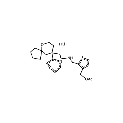 CC(=O)OCc1ccsc1CNCCC1(c2ccccn2)CCOC2(CCCC2)C1.Cl